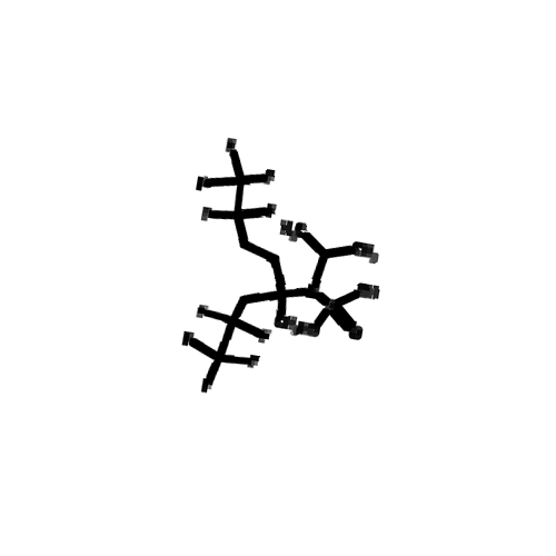 CC(C)N(C(C)(CCC(F)(F)C(F)(F)F)CC(F)(F)C(F)(F)F)P(=O)(O)O